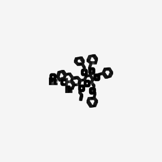 C=CCOc1c(C2O[C@H](COCc3ccccc3)[C@@H](OCc3ccccc3)[C@H](OCc3ccccc3)[C@H]2OCc2ccccc2)cc(Cc2ccc(OCC)cc2)c(Cl)c1Br